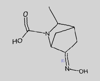 CC1C2C/C(=N\O)C(C2)N1C(=O)O